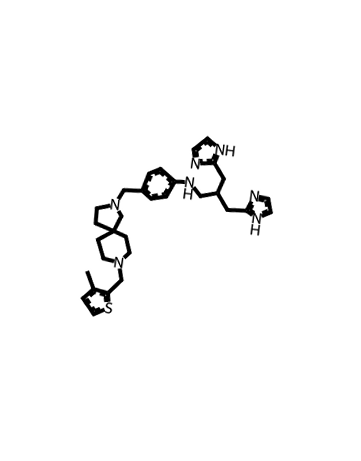 Cc1ccsc1CN1CCC2(CC1)CCN(Cc1ccc(NCC(Cc3ncc[nH]3)Cc3ncc[nH]3)cc1)C2